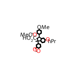 CCCOc1ccc2c(c1)C(c1ccc(OC)cc1OCOC)C(C(=O)O)C2(C)c1ccc2c(c1)OCO2